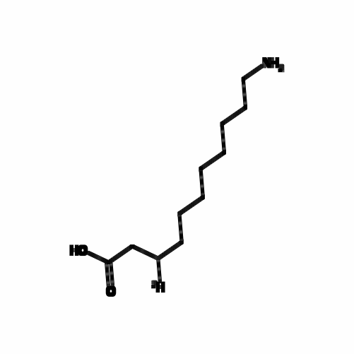 [2H]C(CCCCCCCCN)CC(=O)O